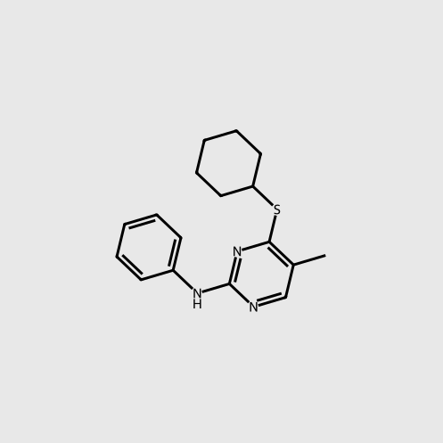 Cc1cnc(Nc2ccccc2)nc1SC1CCCCC1